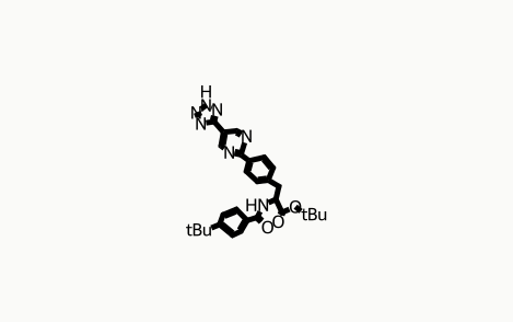 CC(C)(C)OC(=O)C(Cc1ccc(-c2ncc(-c3nn[nH]n3)cn2)cc1)NC(=O)c1ccc(C(C)(C)C)cc1